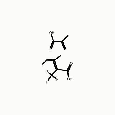 C=C(C)C(=O)O.CCC(C)=C(C(=O)O)C(F)(F)F